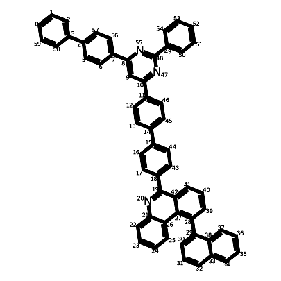 c1ccc(-c2ccc(-c3cc(-c4ccc(-c5ccc(-c6nc7ccccc7c7c(-c8cccc9ccccc89)cccc67)cc5)cc4)nc(-c4ccccc4)n3)cc2)cc1